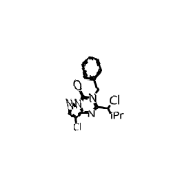 CC(C)C(Cl)c1nc2c(Cl)cnn2c(=O)n1Cc1ccccc1